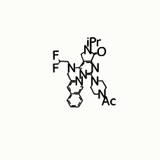 CC(=O)N1CCN(c2nc3c(c(N(Cc4cc5ccccc5cn4)CC(F)F)n2)CN(C(C)C)C3=O)CC1